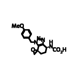 COc1ccc(Cn2nnc3c2[C@]2(CC[C@H]3NC(=O)O)CO2)cc1